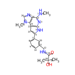 CNc1nc2[nH]c(-c3cccc(CNC(=O)C(C)(C)O)c3)cc2c2c1ncn2C